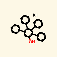 Oc1cc(-c2ccccc2)c(-c2ccccc2)c(-c2ccccc2)c1-c1ccccc1.[KH]